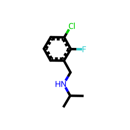 CC(C)NCc1cccc(Cl)c1F